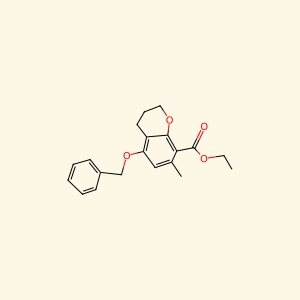 CCOC(=O)c1c(C)cc(OCc2ccccc2)c2c1OCCC2